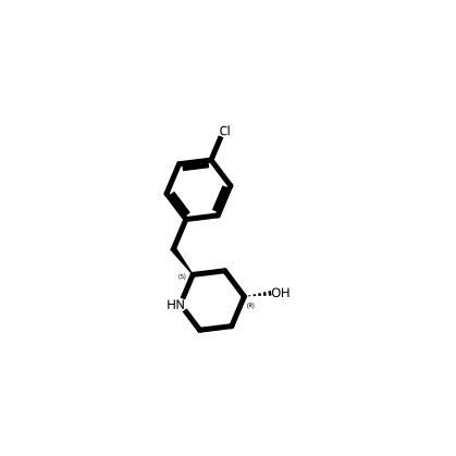 O[C@@H]1CCN[C@@H](Cc2ccc(Cl)cc2)C1